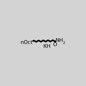 CCCCCCCCCCCCCCCCCC(N)=O.[KH]